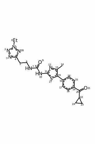 CCn1nnc(CCNC(=O)Nc2nc(C)c(-c3ccc(C(=O)C4CC4)cc3)s2)n1